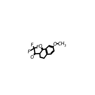 COc1ccc2c(c1)C(=O)C(C(=O)C(F)(F)F)CC2